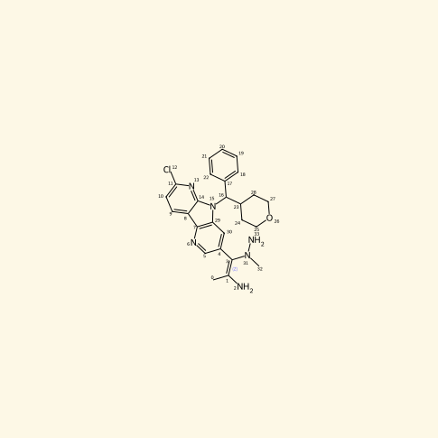 C/C(N)=C(\c1cnc2c3ccc(Cl)nc3n(C(c3ccccc3)C3CCOCC3)c2c1)N(C)N